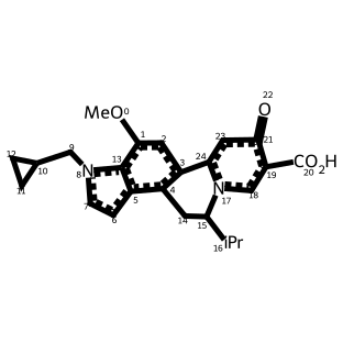 COc1cc2c(c3ccn(CC4CC4)c13)CC(C(C)C)n1cc(C(=O)O)c(=O)cc1-2